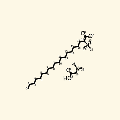 CCCCCCCCCCCCCCCCCCC(C(=O)[O-])[N+](C)(C)C.CN(C)CC(=O)O